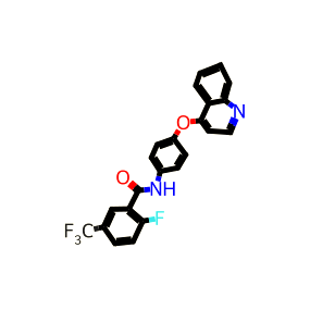 O=C(Nc1ccc(Oc2ccnc3ccccc23)cc1)c1cc(C(F)(F)F)ccc1F